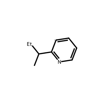 CCC(C)c1[c]cccn1